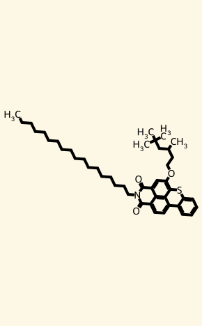 CCCCCCCCCCCCCCCCCCn1c(=O)c2ccc3c4ccccc4sc4c(OCCC(C)CC(C)(C)C)cc(c1=O)c2c43